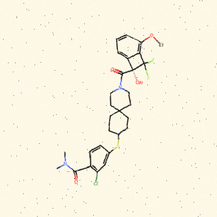 CCOc1cccc2c1C(F)(F)[C@@]2(O)C(=O)N1CCC2(CCC(Sc3ccc(C(=O)N(C)C)c(Cl)c3)CC2)CC1